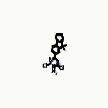 CC1(C)c2ccccc2-c2ccc(C(/C=C(\N)Cl)=N/CCl)cc21